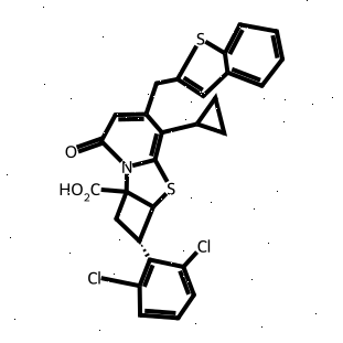 O=C(O)C12C[C@@H](c3c(Cl)cccc3Cl)C1Sc1c(C3CC3)c(Cc3cc4ccccc4s3)cc(=O)n12